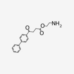 NCCOC(=O)CCC(=O)c1ccc(-c2ccccc2)cc1